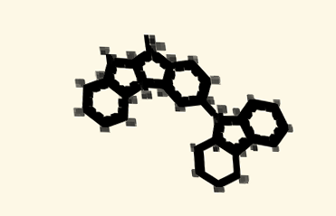 C1=Cc2c(c3ccccc3n2-c2ccc3[nH]c4nc5ccccc5n4c3c2)CC1